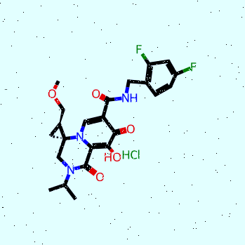 COC[C@@H]1C[C@]12CN(C(C)C)C(=O)c1c(O)c(=O)c(C(=O)NCc3ccc(F)cc3F)cn12.Cl